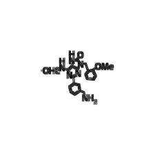 COc1ccccc1Cn1c(=O)[nH]c2c(N[C]=O)nc(-c3cccc(CN)c3)nc21